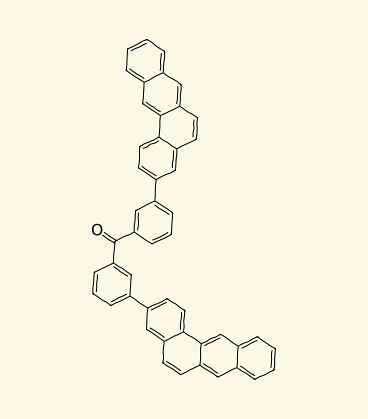 O=C(c1cccc(-c2ccc3c(ccc4cc5ccccc5cc43)c2)c1)c1cccc(-c2ccc3c(ccc4cc5ccccc5cc43)c2)c1